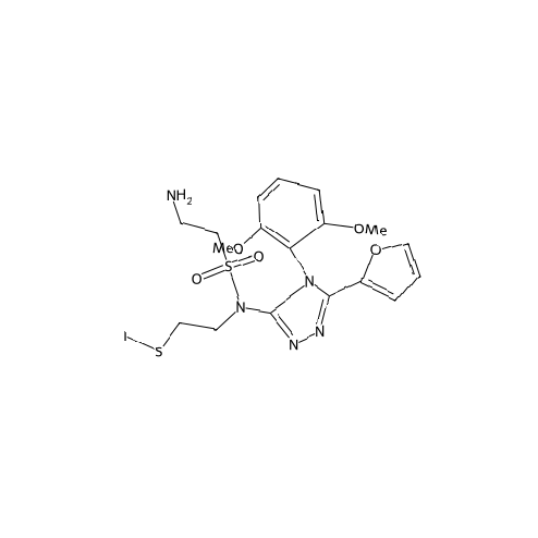 COc1cccc(OC)c1-n1c(-c2ccco2)nnc1N(CCSI)S(=O)(=O)CCN